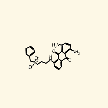 CC[N+](CC)(CCCNc1cccc2c1C(=O)c1c(N)ccc(N)c1C2=O)Cc1ccccc1